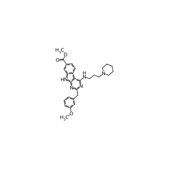 COC(=O)c1ccc2c(c1)[nH]c1nc(Cc3cccc(OC)c3)nc(NCCCN3CCCCC3)c12